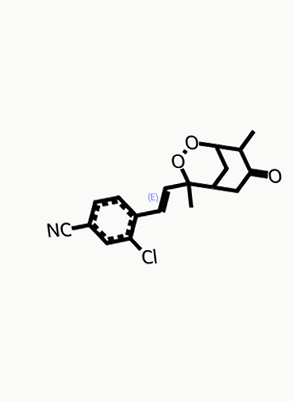 CC1C(=O)CC2CC1OOC2(C)/C=C/c1ccc(C#N)cc1Cl